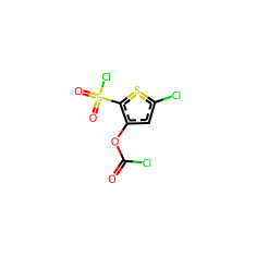 O=C(Cl)Oc1cc(Cl)sc1S(=O)(=O)Cl